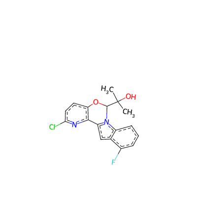 CC(C)(O)C1Oc2ccc(Cl)nc2-c2cc3c(F)cccc3n21